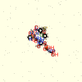 CCS(=O)(=O)c1cccnc1S(=O)(=O)NC(=O)Nc1nc(OC)cc(OC)n1.C[S+](C)C.Nc1c([N+](=O)[O-])ccc(Oc2ccccc2)c1Cl.O=C(O)CNCP(=O)([O-])O